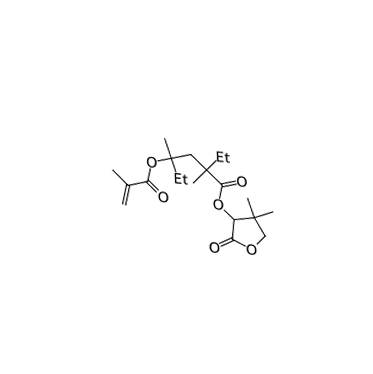 C=C(C)C(=O)OC(C)(CC)CC(C)(CC)C(=O)OC1C(=O)OCC1(C)C